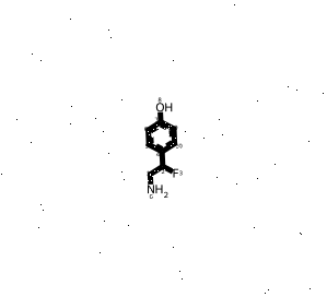 NCC(F)c1ccc(O)cc1